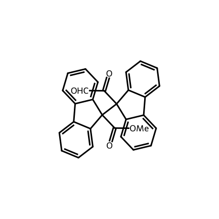 COC(=O)C1(C2(C(=O)C=O)c3ccccc3-c3ccccc32)c2ccccc2-c2ccccc21